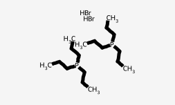 Br.Br.CCCP(CCC)CCC.CCCP(CCC)CCC